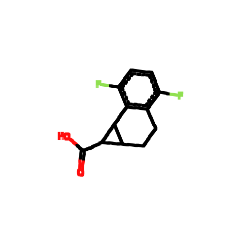 O=C(O)C1C2CCc3c(F)ccc(F)c3C21